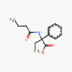 CCCC(=O)NC(CC)(C(=O)O)c1ccccc1